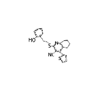 N#Cc1c(SCCc2ccccc2O)nc2c(c1-c1cccs1)CCCC2